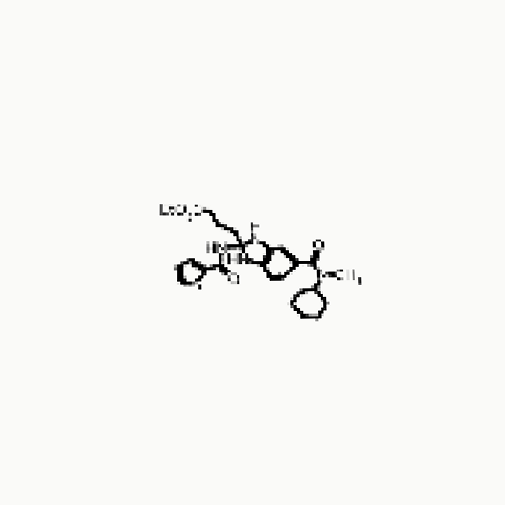 CCOC(=O)CCCC1(NC(=O)c2cccs2)Nc2ccc(C(=O)N(C)C3CCCCC3)cc2N1